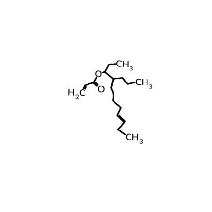 C=CC(=O)OC(CC)C(CCC)CCCCC=CCC